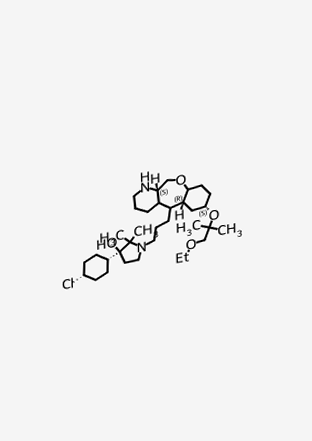 CCOCC(C)(C)O[C@H]1CCC2OC[C@H]3NCCCC3C(CCCN3CCC(O)([C@H]4CC[C@@H](Cl)CC4)C3(C)C)[C@H]2C1